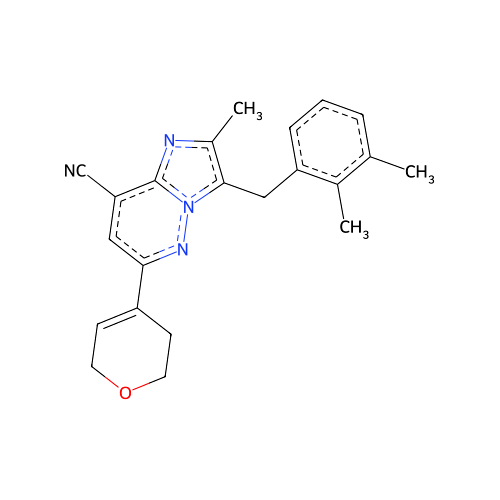 Cc1cccc(Cc2c(C)nc3c(C#N)cc(C4=CCOCC4)nn23)c1C